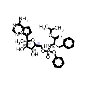 CC(C)OC(=O)[C@H](Cc1ccccc1)NP(=O)(O/C=C1/O[C@@](C)(c2ccc3c(N)ncnn23)[C@H](O)[C@@H]1O)Oc1ccccc1